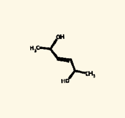 CC(O)C=CC(C)O